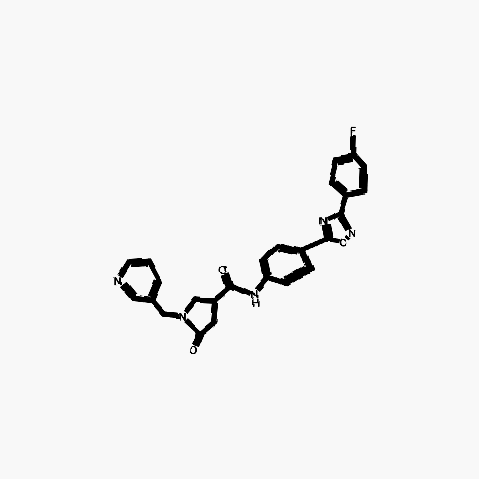 O=C(Nc1ccc(-c2nc(-c3ccc(F)cc3)no2)cc1)C1CC(=O)N(Cc2cccnc2)C1